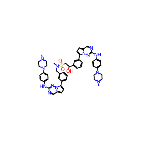 CN1CCN(c2ccc(Nc3ncc4ccc(-c5cccc(CN(C)S(=O)(=O)CC(O)c6cccc(-c7ccc8cnc(Nc9ccc(N%10CCN(C)CC%10)cc9)nn78)c6)c5)n4n3)cc2)CC1